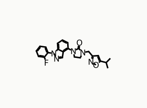 CC(C)c1cc(CN2CCN(c3cccc4c3cnn4-c3ccccc3F)C2=O)no1